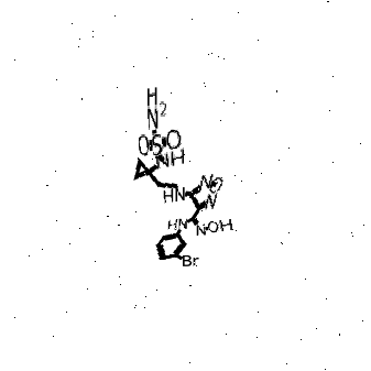 NS(=O)(=O)NC1(CCNc2nonc2C(=NO)Nc2cccc(Br)c2)CC1